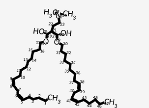 CCCCC/C=C\C/C=C\CCCCCCCCO[C@@H](O)C(CCN(C)C)[C@@H](O)OCCCCCCCC/C=C\C/C=C\CCCCC